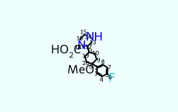 COC1(c2ccc(F)cc2)CCC(C2CNCCN2C(=O)O)CC1